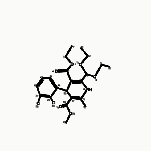 CCOC(=O)C1=C(C(OCC)OCC)NC(C)=C(C(=O)OC)C1c1cccc(Cl)c1Cl